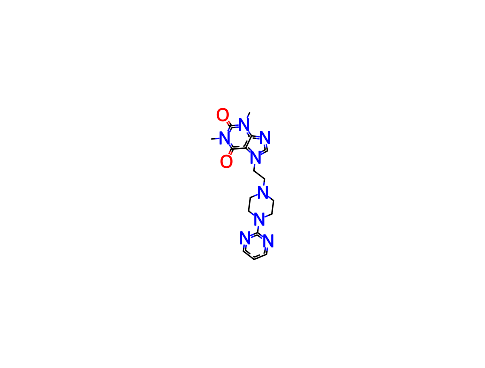 Cn1c(=O)c2c(ncn2CCN2CCN(c3ncccn3)CC2)n(C)c1=O